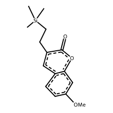 COc1ccc2cc(CC[Si](C)(C)C)c(=O)oc2c1